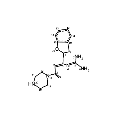 C=C(/C=C(\N=C(N)N)C1Cc2ccccc2O1)N1CCNCC1